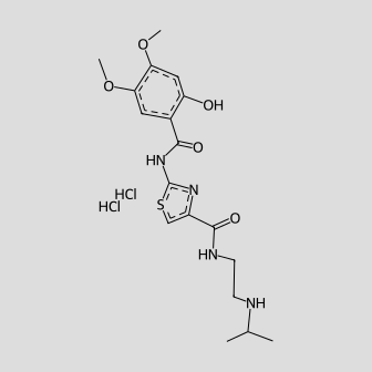 COc1cc(O)c(C(=O)Nc2nc(C(=O)NCCNC(C)C)cs2)cc1OC.Cl.Cl